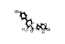 CC1CC(c2ccc(C(C)(C)C)cc2)CCN1C(=O)[C@H]1C[C@]2(COC(=O)N2)C1